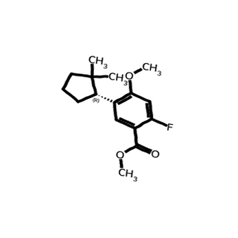 COC(=O)c1cc([C@@H]2CCCC2(C)C)c(OC)cc1F